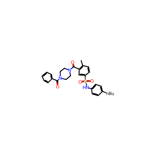 CCCCc1ccc(NS(=O)(=O)c2ccc(C)c(C(=O)N3CCN(C(=O)c4ccccc4)CC3)c2)cc1